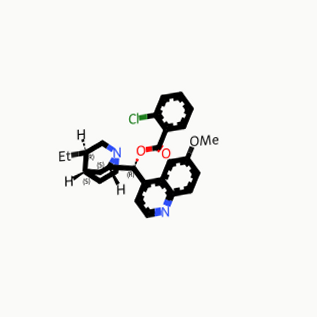 CC[C@H]1CN2CC[C@H]1C[C@H]2[C@H](OC(=O)c1ccccc1Cl)c1ccnc2ccc(OC)cc12